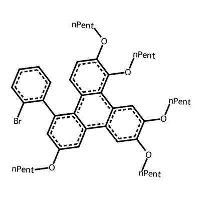 CCCCCOc1cc(-c2ccccc2Br)c2c(c1)c1cc(OCCCCC)c(OCCCCC)cc1c1c(OCCCCC)c(OCCCCC)ccc21